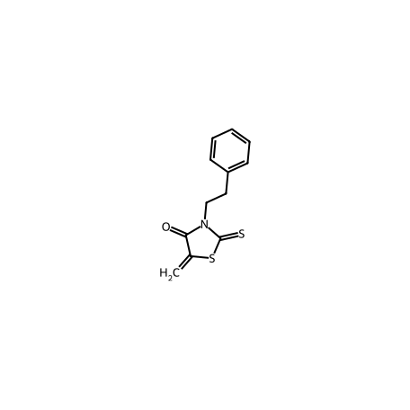 C=C1SC(=S)N(CCc2ccccc2)C1=O